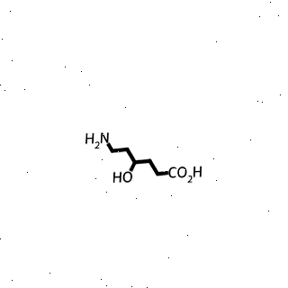 NCCC(O)CCC(=O)O